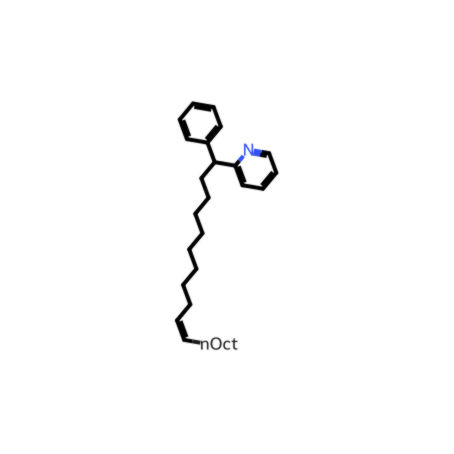 CCCCCCCC/C=C\CCCCCCCCC(c1ccccc1)c1ccccn1